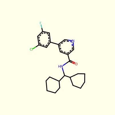 O=C(NC(C1CCCCC1)C1CCCCC1)c1cncc(-c2cc(F)cc(Cl)c2)c1